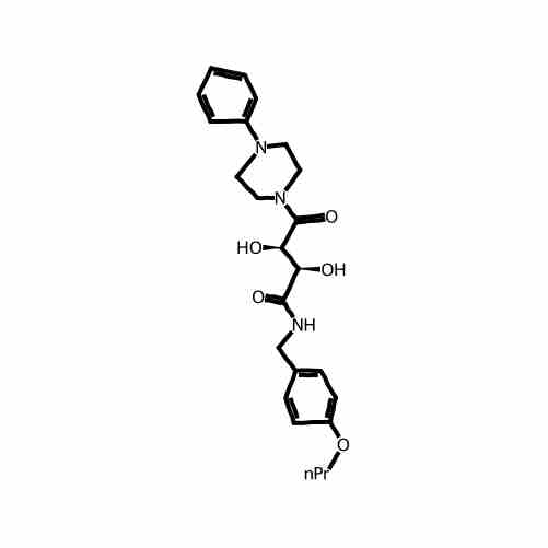 CCCOc1ccc(CNC(=O)[C@H](O)[C@@H](O)C(=O)N2CCN(c3ccccc3)CC2)cc1